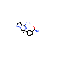 CC1(c2cccc(C(N)=O)c2)Cn2nccc2C(N)=N1